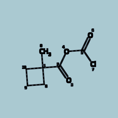 CC1(C(=O)OC(=O)Cl)CCC1